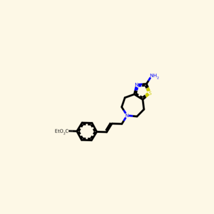 CCOC(=O)c1ccc(/C=C/CN2CCc3nc(N)sc3CC2)cc1